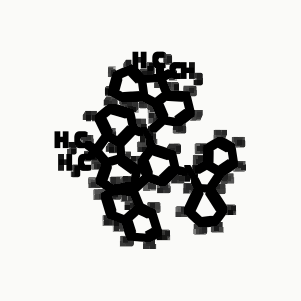 CC1(C)c2ccccc2-c2c(N(c3cc(-c4cccc5ccccc45)cc(-n4c5ccccc5c5ccccc54)c3)c3cccc4c3-c3ccccc3C4(C)C)cccc21